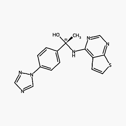 C[C@@](O)(Nc1ncnc2sccc12)c1ccc(-n2cncn2)cc1